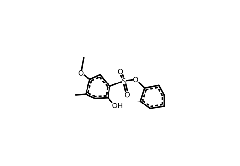 COc1cc(S(=O)(=O)Oc2[c]cccc2)c(O)cc1C